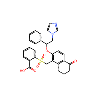 O=C(O)c1ccccc1S(=O)(=O)Cc1c(OC(Cn2ccnc2)c2ccccc2)ccc2c1CCCC2=O